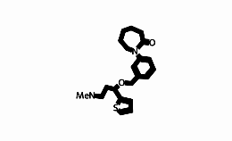 CNCCC(OCc1cccc(N2CCCCCC2=O)c1)c1cccs1